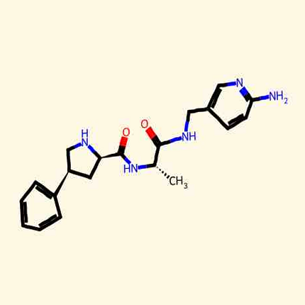 C[C@H](NC(=O)[C@H]1C[C@@H](c2ccccc2)CN1)C(=O)NCc1ccc(N)nc1